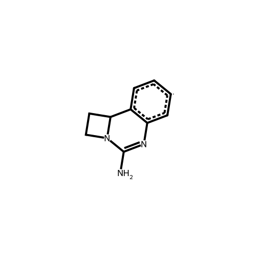 NC1=Nc2c[c]ccc2C2CCN12